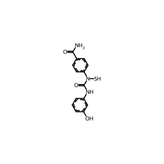 NC(=O)c1ccc(N(S)C(=O)Nc2cccc(O)c2)cc1